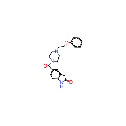 O=C1Cc2cc(C(=O)N3CCN(CCOc4ccccc4)CC3)ccc2N1